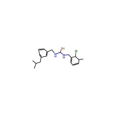 CC(C)Cc1cccc(CNC(S)NCC2=CC=CC(C)C2Br)c1